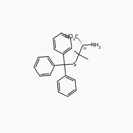 CC(C)(SC(c1ccccc1)(c1ccccc1)c1ccccc1)[C@@H](N)C(=O)O